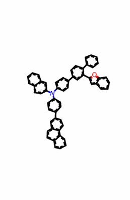 c1ccc(-c2ccc(-c3ccc(N(c4ccc(-c5ccc6c(ccc7ccccc76)c5)cc4)c4ccc5ccccc5c4)cc3)cc2-c2cc3ccccc3o2)cc1